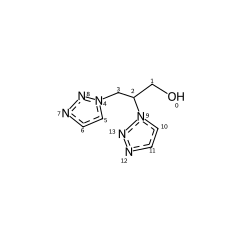 OCC(Cn1ccnn1)n1ccnn1